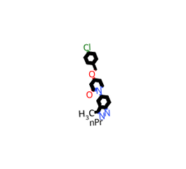 CCCn1nc2ccc(-n3ccc(OCc4ccc(Cl)cc4)cc3=O)cc2c1C